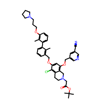 Cc1c(COc2cc(OCc3cncc(C#N)c3)c3c(c2Cl)CCN(CC(=O)OC(C)(C)C)C3)cccc1-c1cccc(OCCCN2CCCC2)c1C